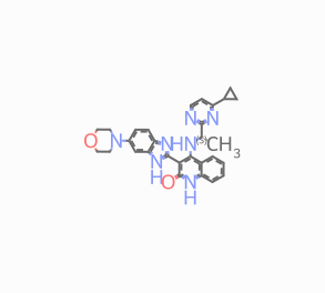 C[C@H](Nc1c(-c2nc3ccc(N4CCOCC4)cc3[nH]2)c(=O)[nH]c2ccccc12)c1nccc(C2CC2)n1